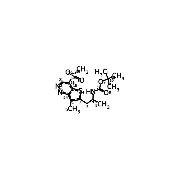 Cc1c(C[C@H](C)NC(=O)OC(C)(C)C)sc2c(S(C)(=O)=O)cnnc12